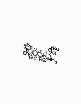 CC(C)(C)OC(=O)CCC(C(N)=O)N1Cc2cc(C3CSCCN3C(=O)OC(C)(C)C)ccc2C1=O